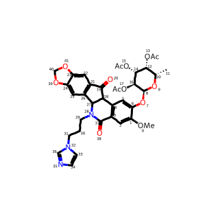 COc1cc2c(cc1O[C@@H]1O[C@@H](C)[C@@H](OC(C)=O)[C@@H](OC(C)=O)[C@@H]1OC(C)=O)C1C(=O)c3cc4c(cc3C1N(CCCn1ccnc1)C2=O)OCO4